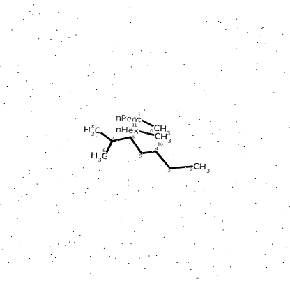 CCCCCC.CCCCCC(C)C.CCCCCCC